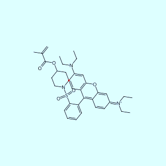 C=C(C)C(=O)OC1CCN(S(=O)(=O)c2ccccc2-c2c3ccc(=[N+](CC)CC)cc-3oc3cc(N(CC)CC)ccc23)CC1